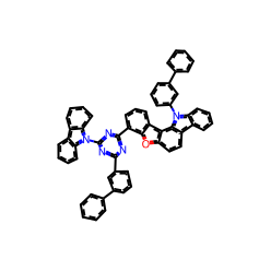 c1ccc(-c2cccc(-c3nc(-c4cccc5c4oc4ccc6c7ccccc7n(-c7cccc(-c8ccccc8)c7)c6c45)nc(-n4c5ccccc5c5ccccc54)n3)c2)cc1